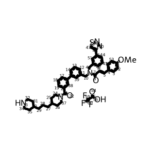 COc1ccc(/C=C/C(=O)N(Cc2cccc(-c3cccc(C(=O)N4CCC(CCCC5CCNCC5)CC4)c3)c2)Cc2cccc(-c3csnn3)c2)cc1.O=C(O)C(F)(F)F